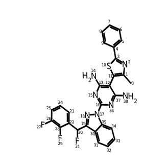 Cc1nc(-c2ccccc2)sc1-c1c(N)nc(-n2nc(C(F)c3cccc(F)c3F)c3ccccc32)nc1N